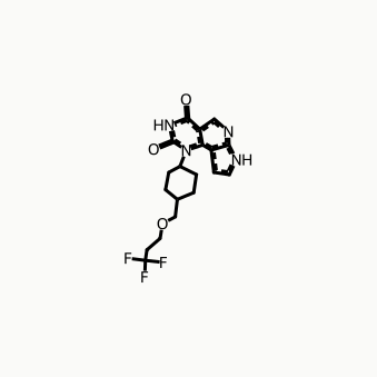 O=c1[nH]c(=O)n(C2CCC(COCCC(F)(F)F)CC2)c2c1cnc1[nH]ccc12